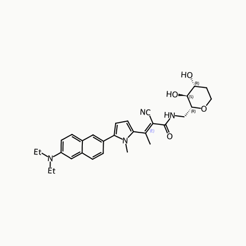 CCN(CC)c1ccc2cc(-c3ccc(/C(C)=C(\C#N)C(=O)NC[C@H]4OCC[C@@H](O)[C@@H]4O)n3C)ccc2c1